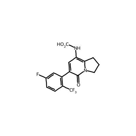 O=C(O)Nc1cc(-c2cc(F)ccc2C(F)(F)F)c(=O)n2c1CCC2